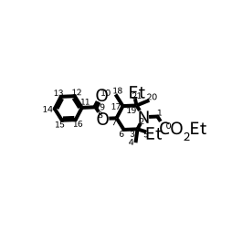 CCOC(=O)CN1C(C)(CC)CC(OC(=O)c2ccccc2)C(C)C1(C)CC